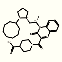 C[C@@H](C[C@@H]1CCCN1C1CCCCCCC1)n1c(=O)c(C(=O)N2CCC(C(=O)O)CC2)nc2ccccc21